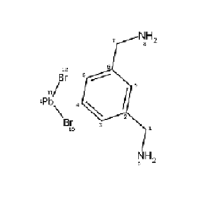 NCc1cccc(CN)c1.[Br][Pb][Br]